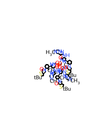 Cc1c(-c2cc(Nc3cc4n(n3)CCN(C)C4)c(=O)n(COP(=O)(OCn3nc(-c4cccc(N5Cc6cc(C(C)(C)C)sc6C5=O)c4C)cc(Nc4cc5n(n4)CCN(C)C5)c3=O)OCn3nc(-c4cccc(N5Cc6cc(C(C)(C)C)sc6C5=O)c4C)cc(Nc4cc5n(n4)CCN(C)C5)c3=O)n2)cccc1N1Cc2cc(C(C)(C)C)sc2C1=O